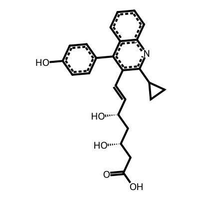 O=C(O)C[C@H](O)C[C@H](O)/C=C/c1c(C2CC2)nc2ccccc2c1-c1ccc(O)cc1